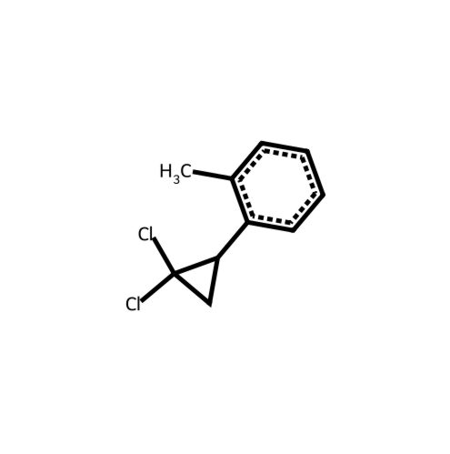 Cc1ccccc1C1CC1(Cl)Cl